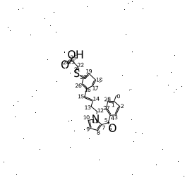 Cc1ccc(C(=O)c2cccn2CC/C=C/c2cccc(SCC(=O)O)c2)cc1